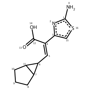 Nc1nc(/C(=C/C2C3CCCC23)C(=O)O)cs1